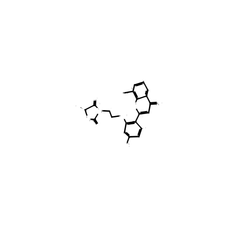 C[C@@H]1NC(=O)N(CCOc2cc(C(F)(F)F)ccc2-c2cc(=O)c3cccc(Cl)c3o2)C1=O